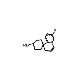 OC1CCC2(CC=Cc3cc(F)ccc32)CC1